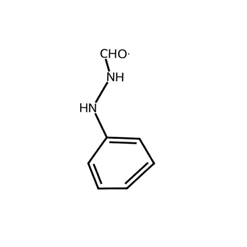 O=[C]NNc1ccccc1